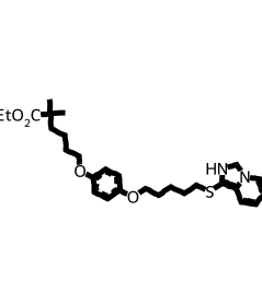 CCOC(=O)C(C)(C)CCCCOc1ccc(OCCCCCSC2=C3C=CC=CN3CN2)cc1